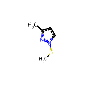 CSn1ccc(C)n1